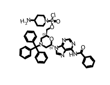 NC1CCN(P(=O)(Cl)OC[C@@H]2CN(C(c3ccccc3)(c3ccccc3)c3ccccc3)C[C@@H](n3cnc4c(NC(=O)c5ccccc5)ncnc43)O2)CC1